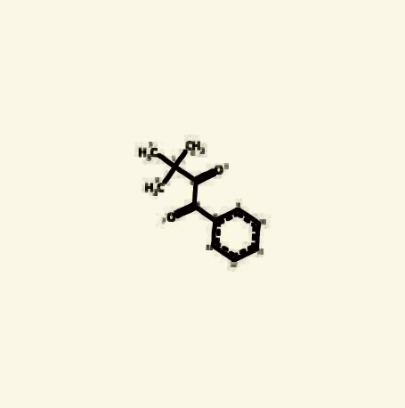 CC(C)(C)C(=O)C(=O)c1ccccc1